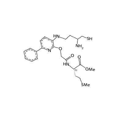 COC(=O)[C@H](CCSC)NC(=O)COc1nc(-c2ccccc2)ccc1NCCC(N)CS